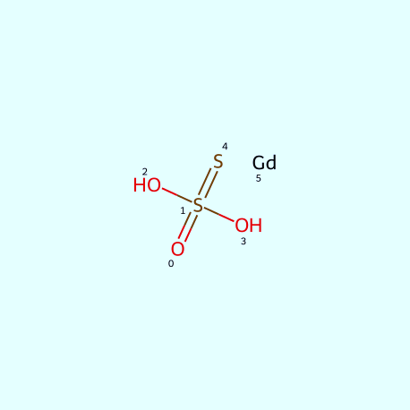 O=S(O)(O)=S.[Gd]